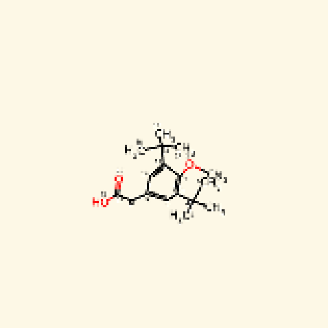 COc1c(C(C)(C)C)cc(CC(=O)O)cc1C(C)(C)C